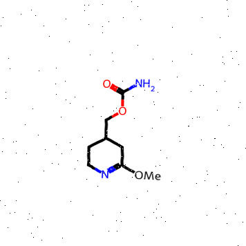 COC1=NCCC(COC(N)=O)C1